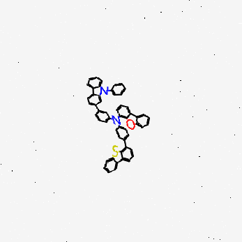 c1ccc(-n2c3ccccc3c3ccc(-c4cccc(N(c5ccc(-c6cccc7c6sc6ccccc67)cc5)c5cccc6c5oc5ccccc56)c4)cc32)cc1